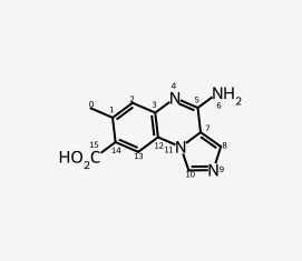 Cc1cc2nc(N)c3cncn3c2cc1C(=O)O